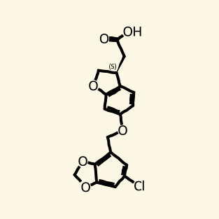 O=C(O)C[C@@H]1COc2cc(OCc3cc(Cl)cc4c3OCO4)ccc21